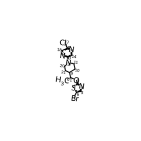 CC(Oc1ncc(Br)s1)C1CCN(c2cnc(Cl)cn2)CC1